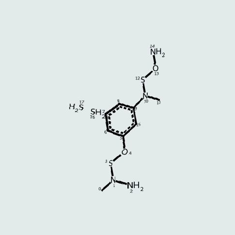 CN(N)SOc1cccc(N(C)SON)c1.S.S